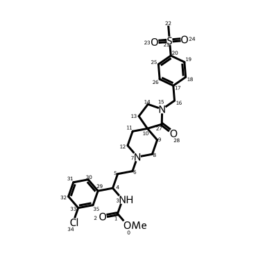 COC(=O)NC(CCN1CCC2(CC1)CCN(Cc1ccc(S(C)(=O)=O)cc1)C2=O)c1cccc(Cl)c1